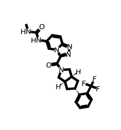 CNC(=O)Nc1ccc2nnc(C(=O)N3C[C@H]4C[C@H](c5ccccc5C(F)(F)F)C[C@H]4C3)n2c1